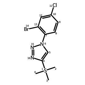 CS(C)(C)c1cn(-c2ccc(Cl)cc2Br)nn1